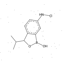 CC(C)C1OB(O)c2cc(NCl)ccc21